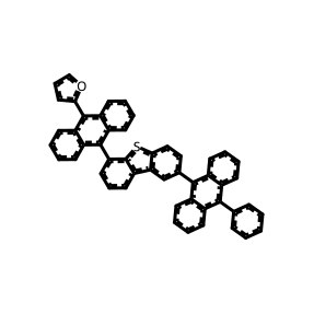 c1ccc(-c2c3ccccc3c(-c3ccc4sc5c(-c6c7ccccc7c(-c7ccco7)c7ccccc67)cccc5c4c3)c3ccccc23)cc1